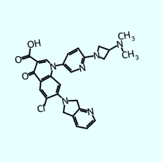 CN(C)C1CN(c2ccc(-n3cc(C(=O)O)c(=O)c4cc(Cl)c(N5Cc6cccnc6C5)cc43)cn2)C1